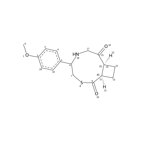 COc1ccc(C2CSC(=O)[C@@H]3CC[C@@H]3C(=O)CN2)cc1